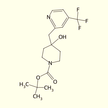 CC(C)(C)OC(=O)N1CCC(O)(Cc2cc(C(F)(F)F)ccn2)CC1